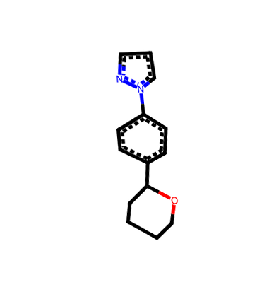 c1cnn(-c2ccc(C3CCCCO3)cc2)c1